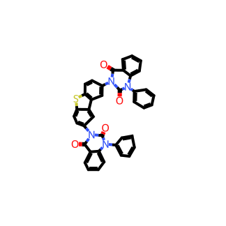 O=c1c2ccccc2n(-c2ccccc2)c(=O)n1-c1ccc2sc3ccc(-n4c(=O)c5ccccc5n(-c5ccccc5)c4=O)cc3c2c1